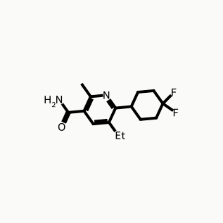 CCc1cc(C(N)=O)c(C)nc1C1CCC(F)(F)CC1